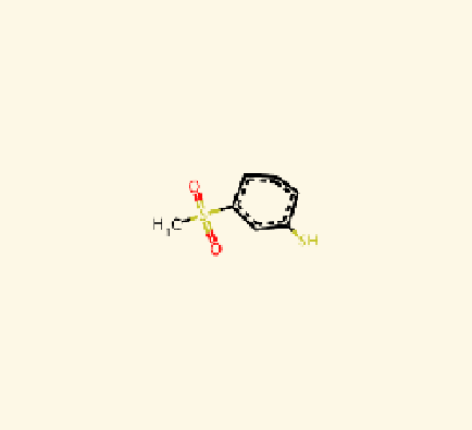 CS(=O)(=O)c1cccc(S)c1